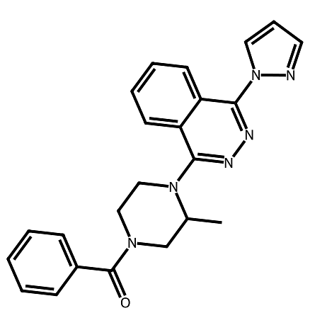 CC1CN(C(=O)c2ccccc2)CCN1c1nnc(-n2cccn2)c2ccccc12